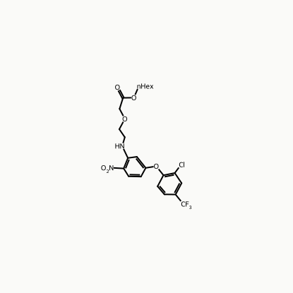 CCCCCCOC(=O)COCCNc1cc(Oc2ccc(C(F)(F)F)cc2Cl)ccc1[N+](=O)[O-]